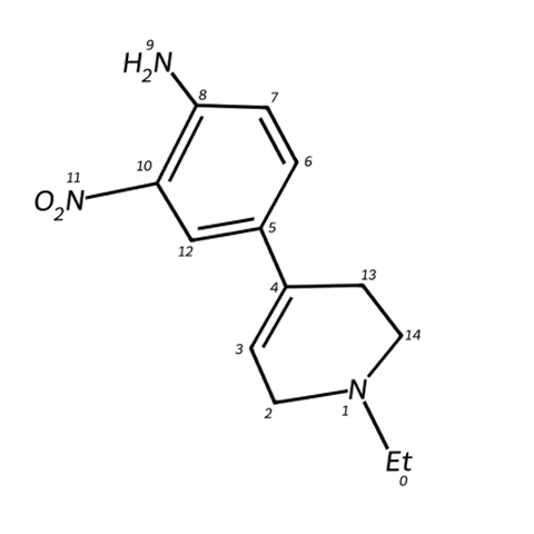 CCN1CC=C(c2ccc(N)c([N+](=O)[O-])c2)CC1